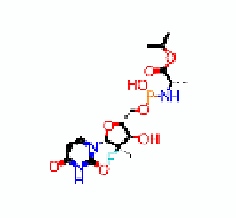 CC(C)OC(=O)[C@H](C)NP(O)OC[C@H]1O[C@@H](n2ccc(=O)[nH]c2=O)[C@](C)(F)[C@@H]1O